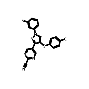 N#Cc1ncc(-c2nn(-c3cccc(F)c3)cc2Sc2ccc(Cl)cc2)cn1